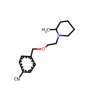 [C-]#[N+]c1ccc(COCCN2CCCCC2C)cc1